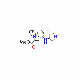 COC(=O)c1cc2c(N[C@@H]3CCN(C)C[C@@H]3F)cccc2n1CC(F)(F)F